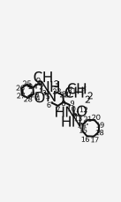 CC(NC(=O)N1CCC(CNC(=O)N[C]2CCCCCCC2)CC1)c1ccccc1.[CH2].[CH2]